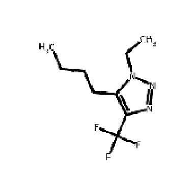 CCCCc1c(C(F)(F)F)nnn1CC